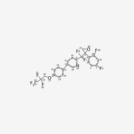 Fc1ccc(C2(C(F)(F)c3ccc(-c4ccc(OCC(F)(F)C(F)(F)F)cc4)cn3)CO2)c(F)c1